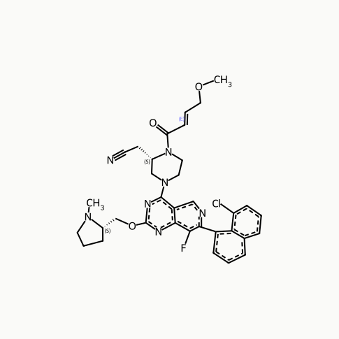 COC/C=C/C(=O)N1CCN(c2nc(OC[C@@H]3CCCN3C)nc3c(F)c(-c4cccc5cccc(Cl)c45)ncc23)C[C@@H]1CC#N